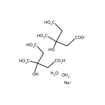 O.O.O=C(O)CC(O)(CC(=O)O)C(=O)O.O=C([O-])CC(O)(CC(=O)O)C(=O)O.[Na+]